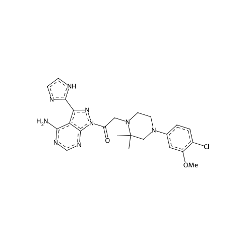 COc1cc(N2CCN(CC(=O)n3nc(-c4ncc[nH]4)c4c(N)ncnc43)C(C)(C)C2)ccc1Cl